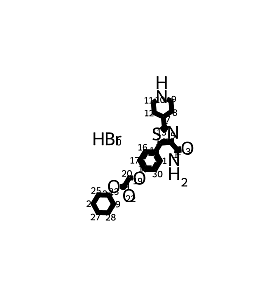 Br.NC(=O)c1nc(C2CCNCC2)sc1-c1ccc(OCC(=O)OC2CCCCC2)cc1